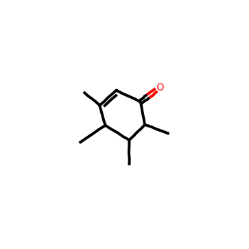 CC1=CC(=O)C(C)C(C)C1C